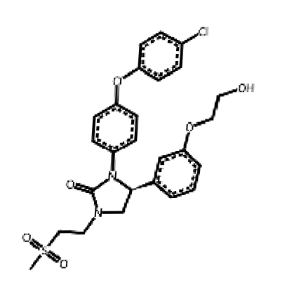 CS(=O)(=O)CCN1C[C@H](c2cccc(OCCO)c2)N(c2ccc(Oc3ccc(Cl)cc3)cc2)C1=O